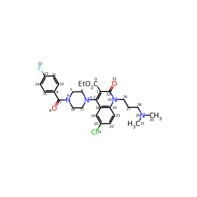 CCOC(=O)c1c(N2CCN(C(=O)c3ccc(F)cc3)CC2)c2cc(Cl)ccc2n(CCCN(C)C)c1=O